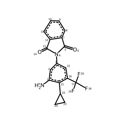 Nc1cc(N2C(=O)c3ccccc3C2=O)cc(C(F)(F)F)c1C1CC1